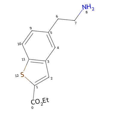 CCOC(=O)c1cc2cc(CCN)ccc2s1